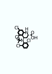 CC(=O)N(c1c(Cl)cccc1Cl)[C@@H]1C[C@@H](C(=O)O)Nc2cc(Cl)cc(Cl)c21